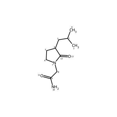 CC(C)CC1CCN(CC(N)=O)C1=O